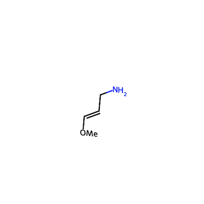 COC=CCN